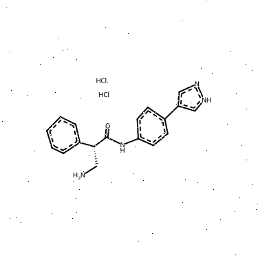 Cl.Cl.NC[C@@H](C(=O)Nc1ccc(-c2cn[nH]c2)cc1)c1ccccc1